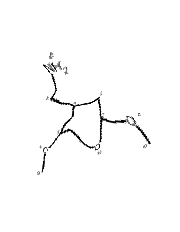 COC1CC(CN)C(OC)O1